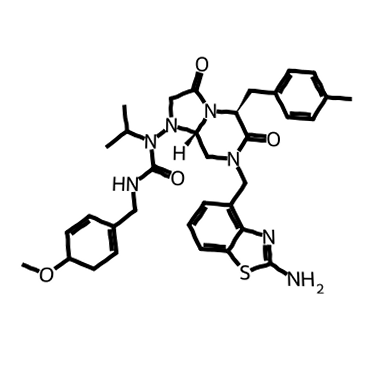 COC1C=CC(CNC(=O)N(C(C)C)N2CC(=O)N3[C@@H](Cc4ccc(C)cc4)C(=O)N(Cc4cccc5sc(N)nc45)C[C@@H]32)=CC1